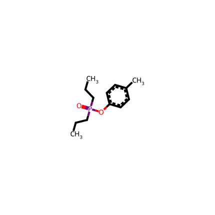 CCCP(=O)(CCC)Oc1ccc(C)cc1